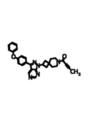 CC#CC(=O)N1CCC2(CC1)CC(n1nc(-c3ccc(Oc4ccccc4)cc3)c3cncnc31)C2